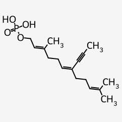 CC#C/C(=C\CC/C(C)=C/COP(=O)(O)O)CCC=C(C)C